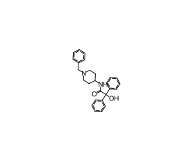 O=C(NC1CCN(Cc2ccccc2)CC1)C(O)(c1ccccc1)c1ccccc1